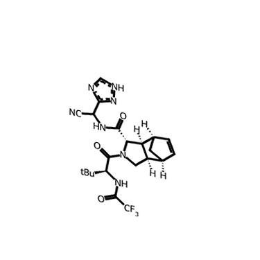 CC(C)(C)[C@H](NC(=O)C(F)(F)F)C(=O)N1C[C@H]2[C@@H]([C@H]1C(=O)NC(C#N)c1nc[nH]n1)[C@H]1C=C[C@@H]2C1